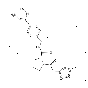 Cc1cc(CC(=O)N2CCC[C@H]2C(=O)NCc2ccc(/C(=C/N)NN)cc2)on1